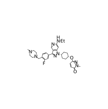 CCNc1cc2c(cn1)c(-c1ccc(CN3CCN(C)CC3)c(F)c1)nn2[C@H]1CC[C@@H](Oc2ccc(=O)n(C)n2)CC1